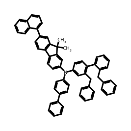 CC1(C)c2cc(-c3cccc4ccccc34)ccc2-c2ccc(N(c3ccc(-c4ccccc4)cc3)c3ccc(-c4ccccc4Cc4ccccc4)c(Cc4ccccc4)c3)cc21